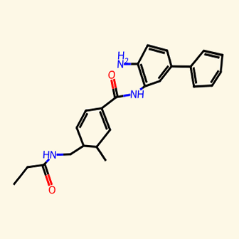 CCC(=O)NCC1C=CC(C(=O)Nc2cc(-c3ccccc3)ccc2N)=CC1C